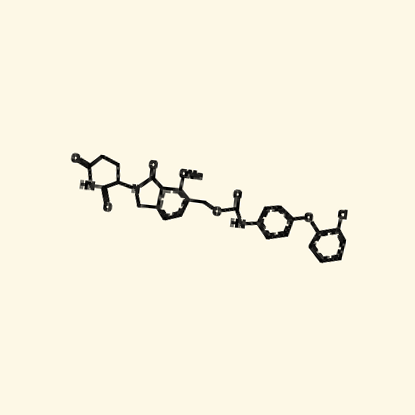 COc1c(COC(=O)Nc2ccc(Oc3ccccc3Cl)cc2)ccc2c1C(=O)N(C1CCC(=O)NC1=O)C2